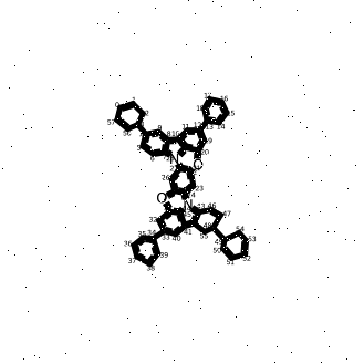 C1=CCC(c2ccc3c(c2)c2cc(-c4ccccc4)cc4oc5cc6c(cc5n3c42)oc2cc(-c3ccccc3)cc3c4c(n6c23)C=CC(C2C=CC=CC2)C4)C=C1